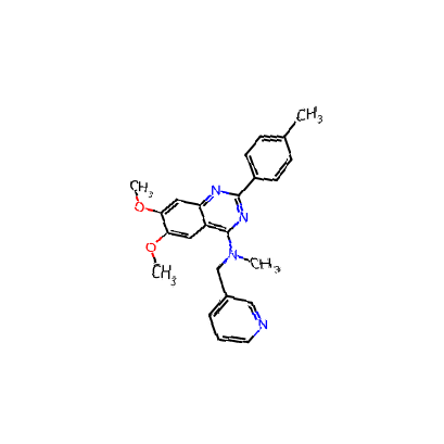 COc1cc2nc(-c3ccc(C)cc3)nc(N(C)Cc3cccnc3)c2cc1OC